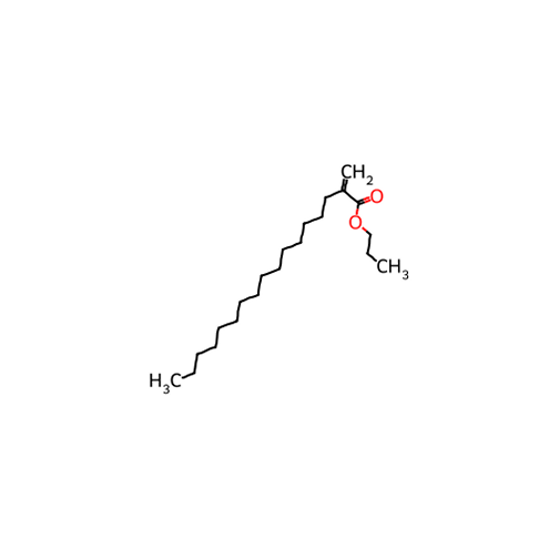 C=C(CCCCCCCCCCCCCCC)C(=O)OCCC